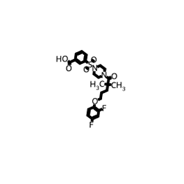 CC(C)(CCCOc1ccc(F)cc1F)C(=O)N1CCN(S(=O)(=O)c2cccc(C(=O)O)c2)CC1